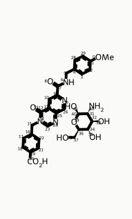 COc1ccc(CNC(=O)c2cc3c(=O)n(Cc4ccc(C(=O)O)cc4)cnc3cn2)cc1.N[C@@H]1[C@@H](O)[C@H](O)[C@@H](CO)O[C@H]1O